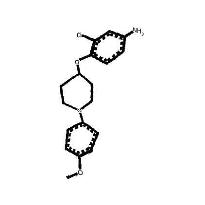 COc1ccc(N2CCC(Oc3ccc(N)cc3Cl)CC2)cc1